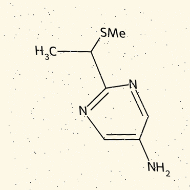 CSC(C)c1ncc(N)cn1